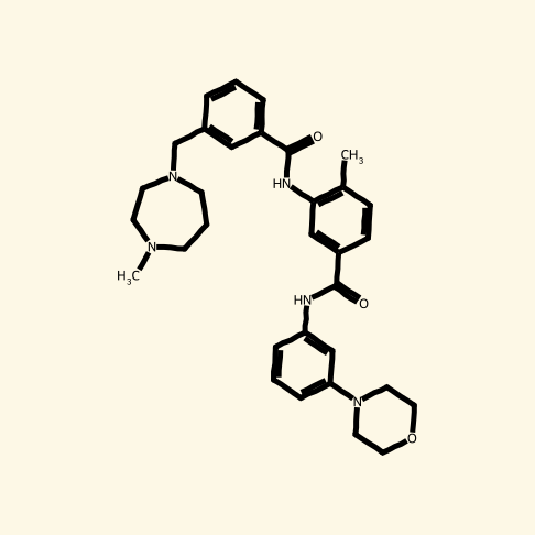 Cc1ccc(C(=O)Nc2cccc(N3CCOCC3)c2)cc1NC(=O)c1cccc(CN2CCCN(C)CC2)c1